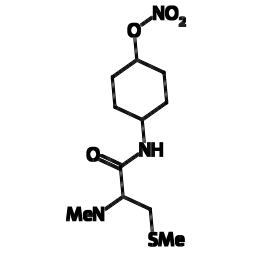 CNC(CSC)C(=O)NC1CCC(O[N+](=O)[O-])CC1